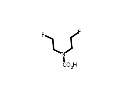 O=C(O)N(CCF)CCF